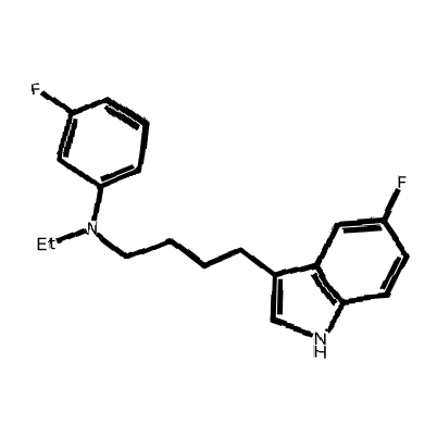 CCN(CCCCc1c[nH]c2ccc(F)cc12)c1cccc(F)c1